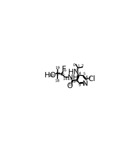 CC(C)Nc1cc(Cl)ncc1C(=O)NCC(F)C(C)(C)O